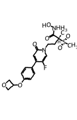 C[C@@](CCn1cc(F)c(-c2ccc(OC3COC3)cc2)cc1=O)(C(=O)NO)S(C)(=O)=O